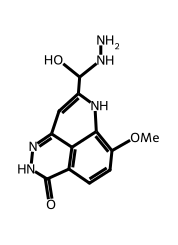 COc1ccc2c(=O)[nH]nc3c2c1NC(C(O)NN)=C3